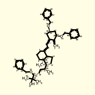 C=C1/C(=C\C=C2CCC[C@@]3(C)C2CC[C@@H]3[C@H](C)CC[C@@H](OCc2ccccc2)C(C)(C)O)C[C@@H](OCc2ccccc2)C[C@H]1OCc1ccccc1